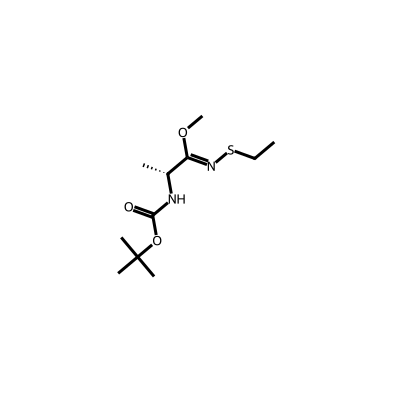 CCS/N=C(\OC)[C@@H](C)NC(=O)OC(C)(C)C